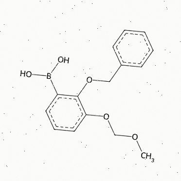 COCOc1cccc(B(O)O)c1OCc1ccccc1